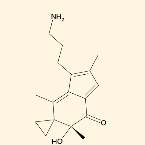 CC1=C(CCCN)C2=C(C)C3(CC3)[C@@](C)(O)C(=O)C2=C1